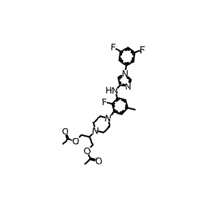 CC(=O)OCC(COC(C)=O)N1CCN(c2cc(C)cc(Nc3cn(-c4cc(F)cc(F)c4)cn3)c2F)CC1